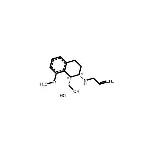 C=CCN[C@H]1CCc2cccc(OC)c2[C@H]1CO.Cl